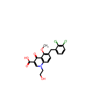 COc1c(Cc2cccc(Cl)c2Cl)ccc2c1c(=O)c(C(=O)O)cn2CCO